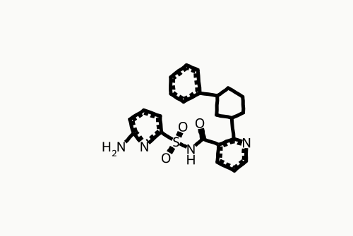 Nc1cccc(S(=O)(=O)NC(=O)c2cccnc2C2CCCC(c3ccccc3)C2)n1